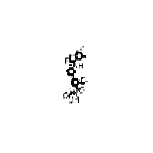 Cc1cc(C(Nc2cccc(-c3ccc(C(=O)N(C)[C@@H](C)C(=O)O)c(C(F)(F)F)c3)c2)C(F)(F)F)ccc1Cl